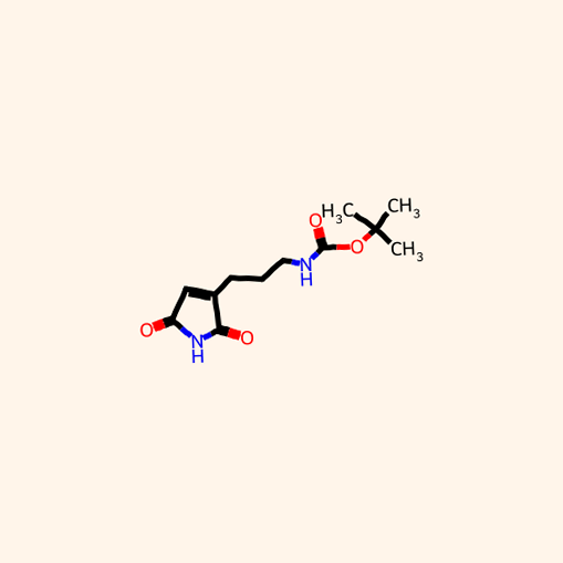 CC(C)(C)OC(=O)NCCCC1=CC(=O)NC1=O